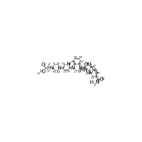 CCOC(=O)C(C)(C)N1CCN(c2ccc(N3CCN(C(=O)NC4[C@@H]5CC6C[C@H]4CC(C(N)=O)(C6)C5)c4ccccc43)nc2)CC1